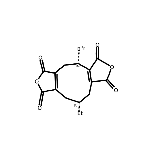 CCC[C@H]1CC2=C(C[C@@H](CC)CC3=C1C(=O)OC3=O)C(=O)OC2=O